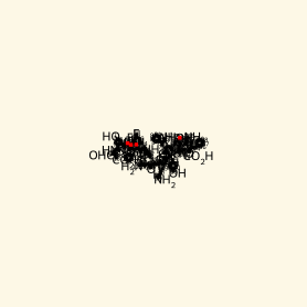 CCCC[C@@H](C(=O)N1C[C@H](O)C[C@@H]1C(=O)N[C@H](C=O)CC(=O)O)N(C)C(=O)[C@H](Cc1ccccc1)N(C)C(=O)[C@H](Cc1cc(F)c(F)c(F)c1)NC(=O)CSC[C@H](NC(=O)[C@H](CCCCN)NC(=O)[C@H](Cc1ccc(O)cc1)NC(=O)[C@H](Cc1c[nH]c2ccccc12)NC(=O)[C@H]1C[C@@H](O)CN1C(=O)[C@H](CC(=O)O)NC(=O)C(Cc1ccccc1)N(C)C(=O)[C@@H](N)C(C)C)C(=O)NCC(N)=O